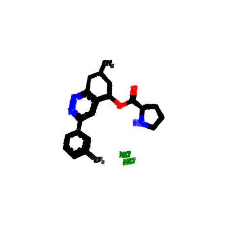 CC1Cc2nnc(-c3cccc(C(F)(F)F)c3)cc2C(OC(=O)[C@H]2CCCN2)C1.Cl.Cl